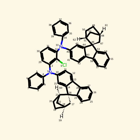 Clc1c(N(c2ccccc2)c2ccc3c(c2)[C@@]2(C[C@H]4CC[C@@H]2C4)c2ccccc2-3)cccc1N(c1ccccc1)c1ccc2c(c1)[C@@]1(C[C@H]3CC[C@@H]1C3)c1ccccc1-2